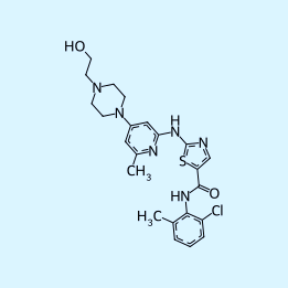 Cc1cc(N2CCN(CCO)CC2)cc(Nc2ncc(C(=O)Nc3c(C)cccc3Cl)s2)n1